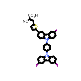 N#C/C(=C\c1ccc(-c2ccc3c(c2)c2cc(I)ccc2n3-c2ccc(-n3c4ccc(I)cc4c4cc(I)ccc43)cc2)s1)C(=O)O